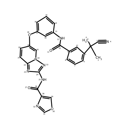 CC(C)(C#N)c1cccc(C(=O)Nc2cccc(Oc3ccc4nc(NC(=O)c5cocn5)nn4c3)c2)c1